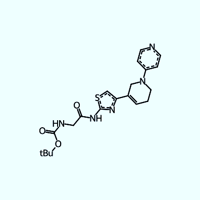 CC(C)(C)OC(=O)NCC(=O)Nc1nc(C2=CCCN(c3ccncc3)C2)cs1